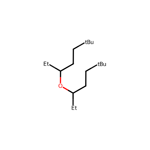 CCC(CCC(C)(C)C)OC(CC)CCC(C)(C)C